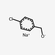 [Na+].[O-]Cc1ccc(Cl)cc1